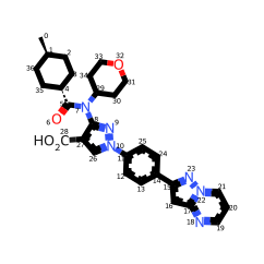 C[C@H]1CC[C@H](C(=O)N(c2nn(-c3ccc(-c4cc5ncccn5n4)cc3)cc2C(=O)O)C2CCOCC2)CC1